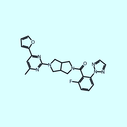 Cc1cc(-c2ccco2)nc(N2CC3CN(C(=O)c4c(F)cccc4-n4nccn4)CC3C2)n1